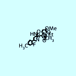 CCOc1nc(C(CS(C)(=O)=O)n2c(=O)[nH]c3cc(-c4ccc(C)cc4F)cnc32)ccc1OC